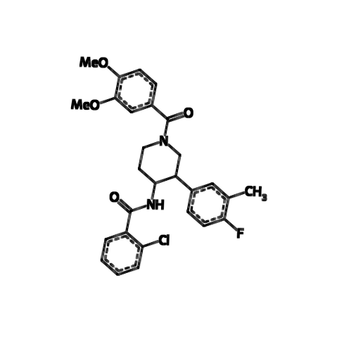 COc1ccc(C(=O)N2CCC(NC(=O)c3ccccc3Cl)C(c3ccc(F)c(C)c3)C2)cc1OC